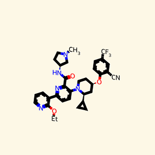 CCOc1ncccc1-c1ccc(N2CC[C@H](Oc3ccc(C(F)(F)F)cc3C#N)C[C@H]2C2CC2)c(C(=O)N[C@@H]2CCN(C)C2)n1